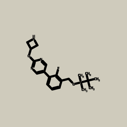 CC(C)(C)[Si](C)(C)OCc1cccc(-c2cnc(OC3CNC3)nc2)c1F